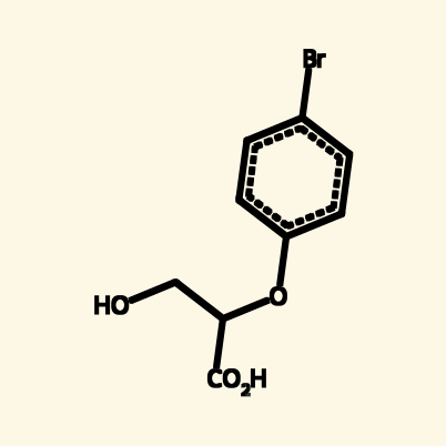 O=C(O)C(CO)Oc1ccc(Br)cc1